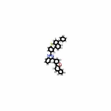 c1ccc(-c2ccc3c4c(cccc24)-c2cc(-c4nc(-c5ccc6oc7c8ccccc8ccc7c6c5)c5ccccc5n4)ccc2S3)cc1